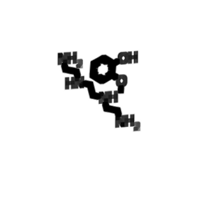 COc1ccccc1O.NCCNCCNCCN